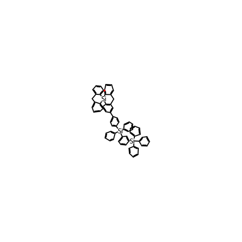 c1ccc([Si](c2ccccc2)(c2ccccc2)c2cccc([Si](c3ccccc3)(c3ccccc3)c3ccc(-c4ccc5c(c4)Cc4ccccc4[Si]54c5ccccc5Cc5ccccc54)cc3)c2)cc1